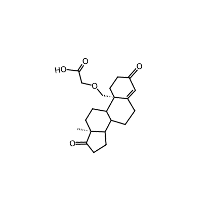 C[C@]12CCC3C(CCC4=CC(=O)CC[C@@]43COCC(=O)O)C1CCC2=O